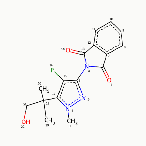 Cn1nc(N2C(=O)c3ccccc3C2=O)c(F)c1C(C)(C)CO